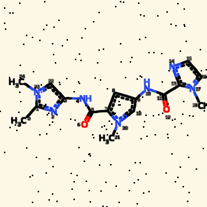 Cc1nc(NC(=O)c2cc(NC(=O)c3nccn3C)cn2C)cn1C